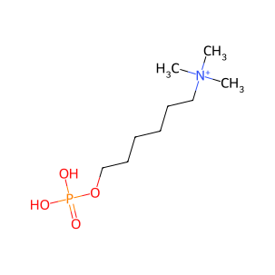 C[N+](C)(C)CCCCCCOP(=O)(O)O